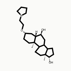 C[C@]12CCC3C(C[C@H](O)[C@H]4C[C@@H](OCCN5CCCC5)CC[C@]34C)C1CC[C@@H]2O